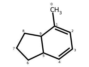 CC1=CC=CC2CCCC12